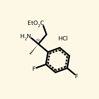 CCOC(=O)C[C@](C)(N)c1ccc(F)cc1F.Cl